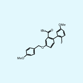 COc1ccc(COc2ccc(-c3cc(OC)ccc3F)c(C(=O)C(C)(C)C)c2)cc1